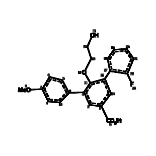 CCOC(=O)c1cc(-c2ccc(OC)cc2)c(OCCO)c(-c2ccccc2F)c1